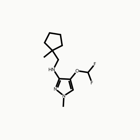 Cn1cc(OC(F)F)c(NCC2(C)CCCC2)n1